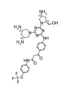 N[C@@H]1C[C@H](N)CN(c2nc(Nc3ccc(C(=O)CC(=O)Nc4ccc(SC(F)(F)F)cc4)cc3)nc(N3C[C@@H](N)C[C@H]3CO)n2)C1